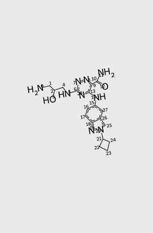 NCC(O)CNc1nnc(C(N)=O)c(Nc2ccc3nn(C4CCC4)cc3c2)n1